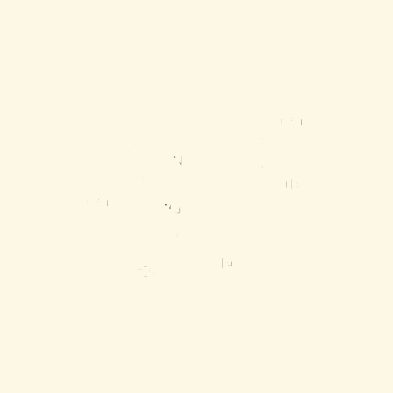 CC(C)(C)c1cc(-c2ccc3c(c2)c2cc(-c4cc(C(C)(C)C)cc(C(C)(C)C)c4)ccc2n3-c2ccccc2-c2cc(C(C)(C)C)cc(C(C)(C)C)c2)cc(C(C)(C)C)c1